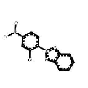 CCN(CC)c1ccc(-n2nc3ccccc3n2)c(O)c1